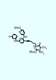 COc1ccc(Nc2nc(Nc3cccc(F)c3)ncc2C#CCCCNC(=O)[C@H](C)N(C)C(=O)OC(C)(C)C)cn1